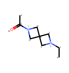 CCN1CC2(C1)CN(C(C)=O)C2